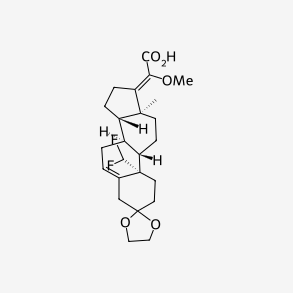 CO/C(C(=O)O)=C1/CC[C@H]2[C@@H]3CC=C4CC5(CC[C@]4(C(F)F)[C@H]3CC[C@]12C)OCCO5